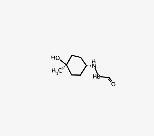 C[C@]1(O)CC[C@H](NBC=O)CC1